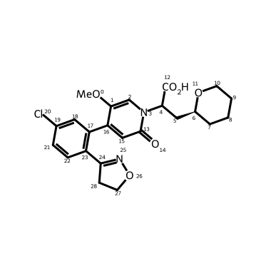 COc1cn(C(C[C@@H]2CCCCO2)C(=O)O)c(=O)cc1-c1cc(Cl)ccc1C1=NOCC1